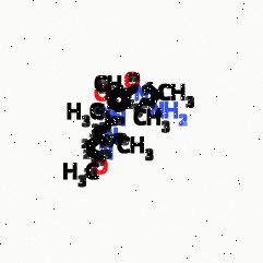 CC[C@@H]1[C@H](N)[C@H](C)CN1C(=O)c1cc(OC)c2c(c1)nc(-c1cc3ccc(OC)nc3n1CC)n2C